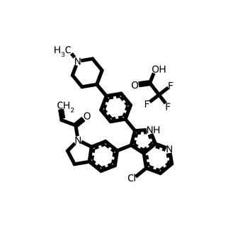 C=CC(=O)N1CCc2ccc(-c3c(-c4ccc(C5CCN(C)CC5)cc4)[nH]c4nccc(Cl)c34)cc21.O=C(O)C(F)(F)F